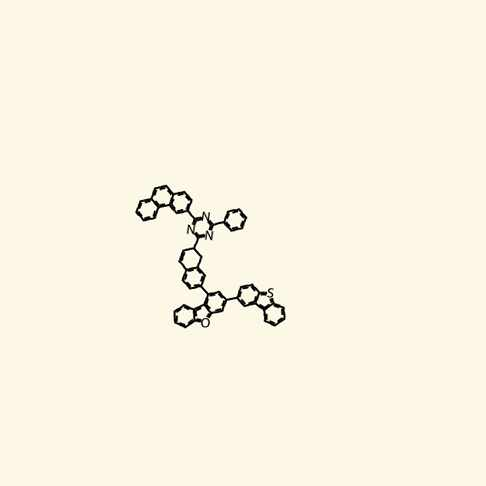 C1=CC(c2nc(-c3ccccc3)nc(-c3ccc4ccc5ccccc5c4c3)n2)Cc2cc(-c3cc(-c4ccc5sc6ccccc6c5c4)cc4oc5ccccc5c34)ccc21